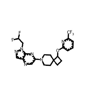 FC(F)Cn1ncc2ncc(N3CCC4(CCC4Oc4cccc(C(F)(F)F)n4)CC3)nc21